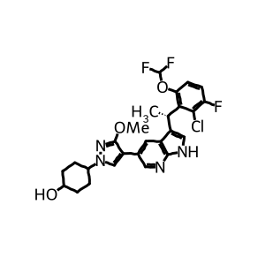 COc1nn(C2CCC(O)CC2)cc1-c1cnc2[nH]cc([C@H](C)c3c(OC(F)F)ccc(F)c3Cl)c2c1